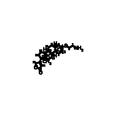 C[C@]12CC[C@H](SCCN)C[C@H]1CC[C@@H]1[C@@H]2CC[C@]2(C)[C@@H](C3=CC(=O)OC3)CC[C@@H]12